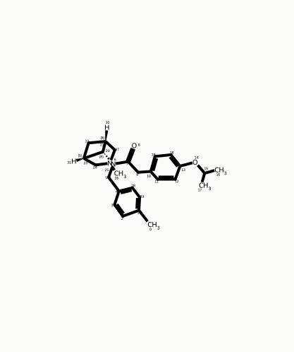 Cc1ccc(CN(C(=O)Cc2ccc(OC(C)C)cc2)[C@H]2[C@@H]3C[C@H]2CN(C)C3)cc1